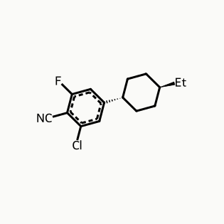 CC[C@H]1CC[C@H](c2cc(F)c(C#N)c(Cl)c2)CC1